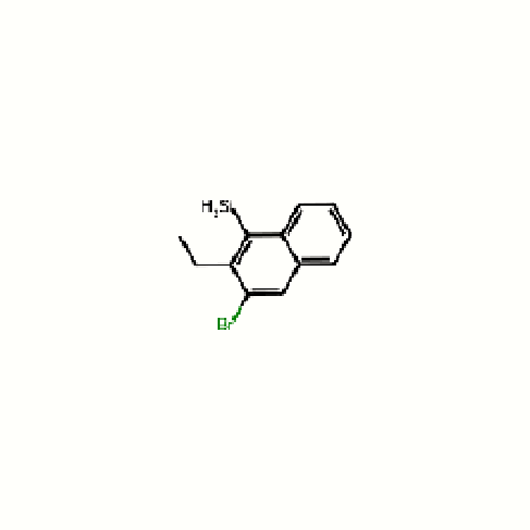 CCc1c(Br)cc2ccccc2c1[SiH3]